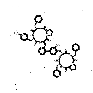 Cc1ccc(C[C@H]2NC(=O)[C@H](Cc3ccccc3)NC(=O)[C@H]3CCCN3C(=O)/C(=C/c3ccccc3-c3ccc(C[C@H]4NC(=O)[C@H](Cc5ccccc5)NC(=O)[C@H]5CCCN5C(=O)[C@H](Cc5ccccc5)NC4=O)c(C)c3)NC2=O)cc1